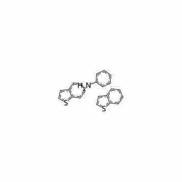 Nc1ccccc1.c1ccc2sccc2c1.c1ccc2sccc2c1